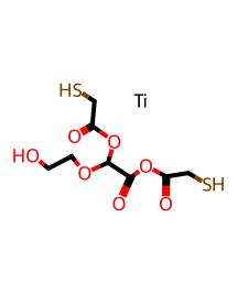 O=C(CS)OC(=O)C(OCCO)OC(=O)CS.[Ti]